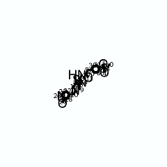 CCS(=O)(=O)c1ccc(CC(=O)Nc2nc3c(s2)CN(Cc2ccn(C)c(=O)c2)C3)cc1